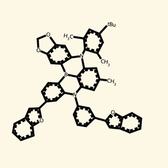 Cc1cc2c3c(c1)N(c1c(C)cc(C(C)(C)C)cc1C)c1cc4c(cc1B3c1ccc(-c3cc5ccccc5o3)cc1N2c1cccc(-c2cc3ccccc3o2)c1)OCO4